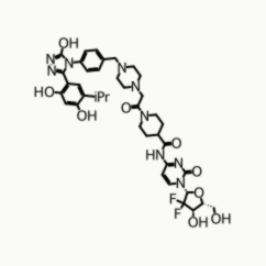 CC(C)c1cc(-c2nnc(O)n2-c2ccc(CN3CCN(CC(=O)N4CCC(C(=O)Nc5ccn([C@@H]6O[C@H](CO)[C@@H](O)C6(F)F)c(=O)n5)CC4)CC3)cc2)c(O)cc1O